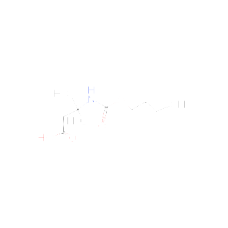 CCCCOC(=O)NC(C)(C)CC(=O)O